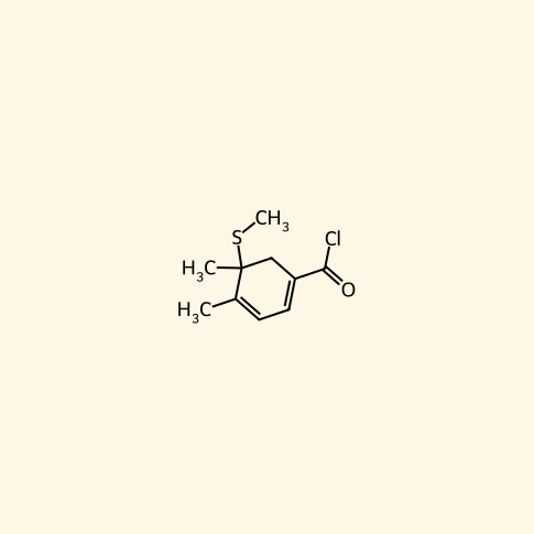 CSC1(C)CC(C(=O)Cl)=CC=C1C